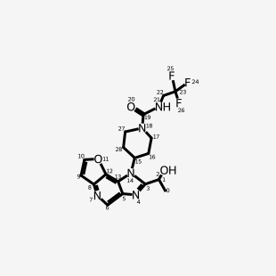 CC(O)c1nc2cnc3ccoc3c2n1C1CCN(C(=O)NCC(F)(F)F)CC1